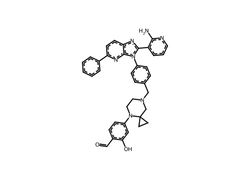 Nc1ncccc1-c1nc2ccc(-c3ccccc3)nc2n1-c1ccc(CN2CCN(c3ccc(C=O)c(O)c3)C3(CC3)C2)cc1